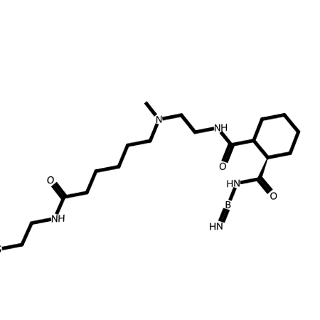 CN(CCCCCC(=O)NCCS)CCNC(=O)C1CCCC[C@H]1C(=O)NB=N